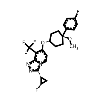 CO[C@]1(c2ccc(F)cc2)CC[C@@H](Oc2ccn3c([C@@H]4C[C@H]4F)nnc3c2C(F)(F)F)CC1